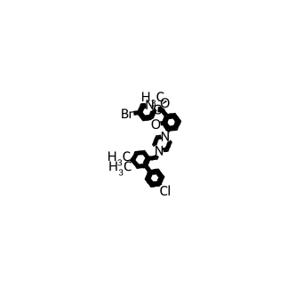 COC(=O)c1cccc(N2CCN(CC3=C(c4ccc(Cl)cc4)CC(C)(C)CC3)CC2)c1Oc1cncc(Br)c1